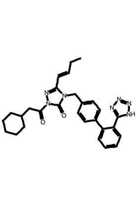 CC/C=C/c1nn(C(=O)CC2CCCCC2)c(=O)n1Cc1ccc(-c2ccccc2-c2nnn[nH]2)cc1